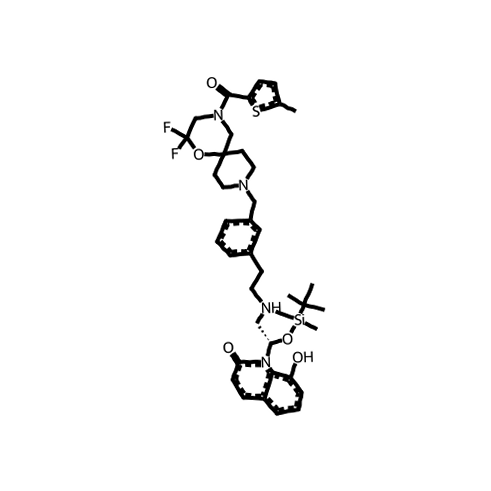 Cc1ccc(C(=O)N2CC(F)(F)OC3(CCN(Cc4cccc(CCNC[C@H](O[Si](C)(C)C(C)(C)C)n5c(=O)ccc6cccc(O)c65)c4)CC3)C2)s1